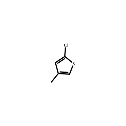 Cc1csc(Cl)c1